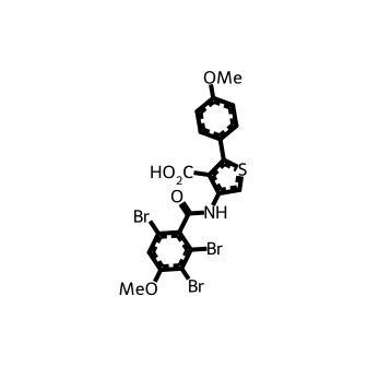 COc1ccc(-c2scc(NC(=O)c3c(Br)cc(OC)c(Br)c3Br)c2C(=O)O)cc1